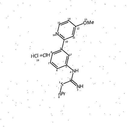 CCCSC(=N)Nc1cccc(-c2cc(OC)ccn2)c1.Cl.Cl